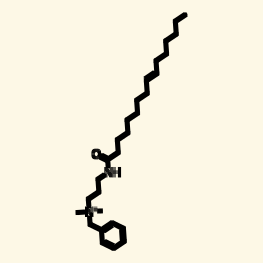 CCCCCC/C=C/CCCCCCCC(=O)NCCC[N+](C)(C)Cc1ccccc1